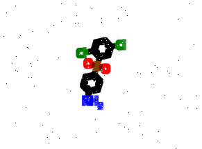 Nc1ccc(S(=O)(=O)c2cc(Cl)ccc2Cl)cc1